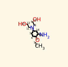 CCOc1ccc(N(CCO)CCO)cc1N